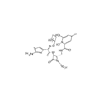 Nc1nc(C(=NOC2(C(=O)O)CCC2)C(=O)N[C@@H]2C(=O)N(S(=O)(=O)O)[C@H]2CNC(=O)c2cc(=O)cc(O)n2O)cs1